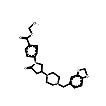 CCOC(=O)c1ccc(N2CC(N3CCN(Cc4ccc5c(c4)OCO5)CC3)CC2=O)cc1